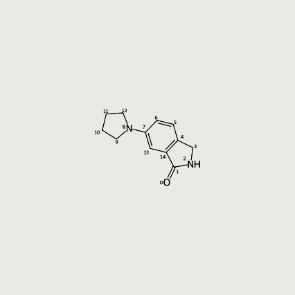 O=C1NCc2ccc(N3CCCC3)cc21